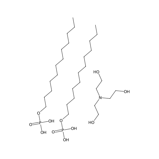 CCCCCCCCCCCCOP(=O)(O)O.CCCCCCCCCCCCOP(=O)(O)O.OCCN(CCO)CCO